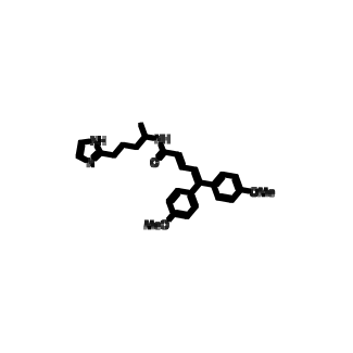 COc1ccc(C(=C/C=C/C(=O)NC(C)CCCc2ncc[nH]2)c2ccc(OC)cc2)cc1